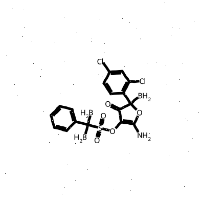 BC1(c2ccc(Cl)cc2Cl)OC(N)=C(OS(=O)(=O)C(B)(B)c2ccccc2)C1=O